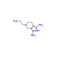 CCCN1CCc2c(N)[nH]c(N)c2C1